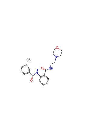 O=C(Nc1ccccc1C(=O)NCCN1CCOCC1)c1cccc(C(F)(F)F)c1